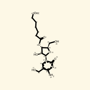 CCCCCCCCCCCCCCCC(=O)O[C@H]1[C@H](O)[C@H](n2cc(CO)c(N)nc2=O)O[C@@H]1CO